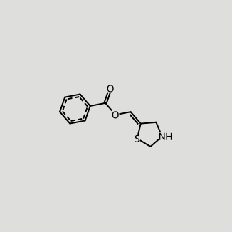 O=C(OC=C1CNCS1)c1ccccc1